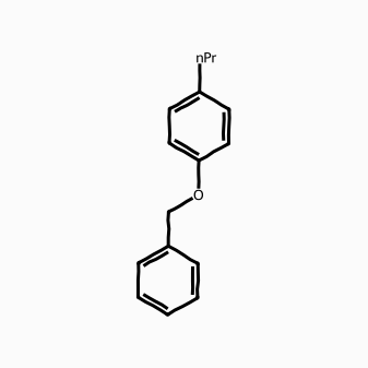 CCCc1ccc(OCc2ccccc2)cc1